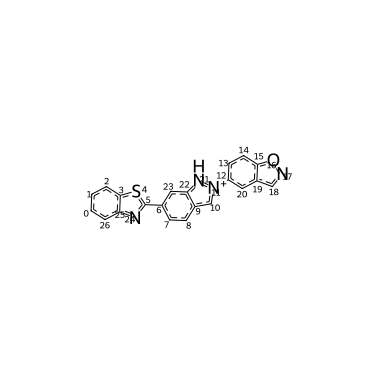 c1ccc2sc(-c3ccc4c[n+](-c5ccc6oncc6c5)[nH]c4c3)nc2c1